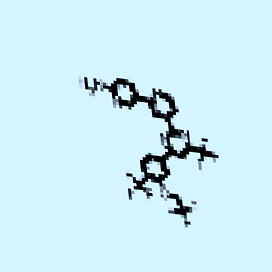 Nc1ccc(-c2cc(-c3nc(-c4ccc(C(F)(F)F)c(OCC(F)(F)F)c4)cc(C(F)(F)F)n3)ccn2)cn1